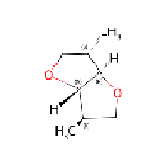 C[C@@H]1CO[C@H]2[C@H]1OC[C@@H]2C